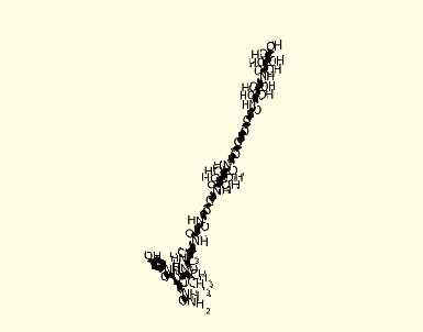 CN[C@@H](CCCCNC(=O)CCC(=O)NCCOCCOCCNC(=O)[C@@H](O)[C@@H](O)[C@H](O)[C@@H](O)C(=O)NCCOCCOCCOCCOCCC(=O)NC[C@H](O)[C@@H](O)[C@H](O)[C@H](O)CNC(=O)[C@H](O)[C@@H](O)[C@H](O)[C@H](O)CO)C(=O)N[C@H](C(=O)N[C@@H](CCCNC(N)=O)C(=O)Nc1ccc(CO)cc1)C(C)C